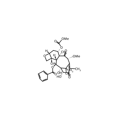 COC(=O)O[C@H]1C[C@H]2OC[C@@]2(OC(C)=O)[C@H]2[C@H](OC(=O)c3ccccc3)[C@]3(O)[C@@H](O)C(=O)C(C)=C([C@@H](OC)C(=O)[C@]12C)C3(C)C